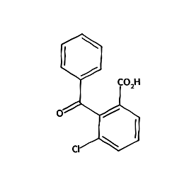 O=C(O)c1cccc(Cl)c1C(=O)c1ccccc1